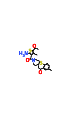 CC(=O)c1sc(N)c(C(=O)N2CCC3(CC2)CC(=O)c2cc(C)ccc2S3)c1C